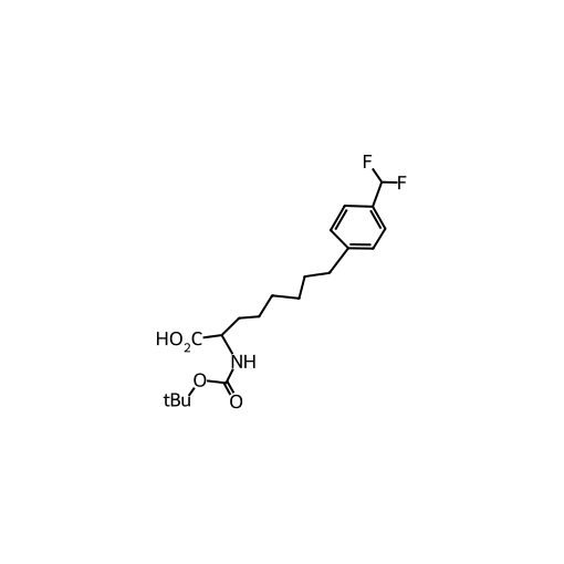 CC(C)(C)OC(=O)NC(CCCCCCc1ccc(C(F)F)cc1)C(=O)O